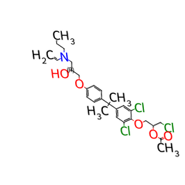 C=CN(CCC)C[C@@H](O)COc1ccc(C(C)(C)c2cc(Cl)c(OCC(CCl)OC(C)=O)c(Cl)c2)cc1